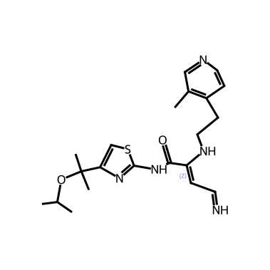 Cc1cnccc1CCN/C(=C\C=N)C(=O)Nc1nc(C(C)(C)OC(C)C)cs1